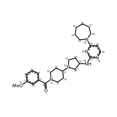 COc1cccc(C(=O)N2CCC(N3CCC(Nc4nccc(N5CCCCCC5)n4)C3)CC2)c1